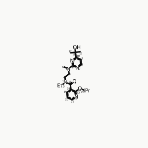 CCN(CCN(C)c1nccc(C(C)(C)O)n1)C(=O)c1cccnc1OC(C)C